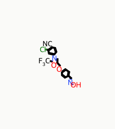 N#Cc1ccc(N2CC(COc3ccc(C=NO)cc3)OC2C(F)(F)F)cc1Cl